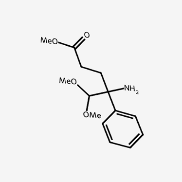 COC(=O)CCC(N)(c1ccccc1)C(OC)OC